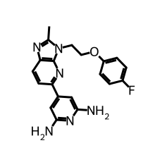 Cc1nc2ccc(-c3cc(N)nc(N)c3)nc2n1CCOc1ccc(F)cc1